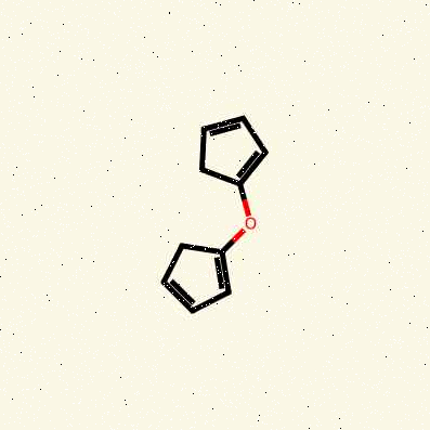 C1=CCC(OC2=CC=CC2)=C1